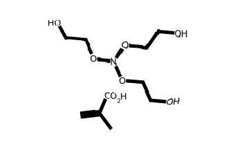 C=C(C)C(=O)O.OCCON(OCCO)OCCO